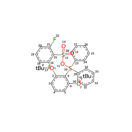 CC(C)(C)Oc1cccc(OC(C)(C)C)c1S(OS(=O)(=O)c1c(F)cccc1F)(c1ccccc1)c1ccccc1